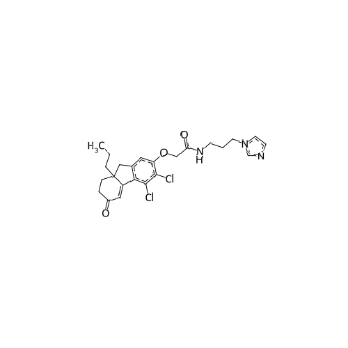 CCCC12CCC(=O)C=C1c1c(cc(OCC(=O)NCCCn3ccnc3)c(Cl)c1Cl)C2